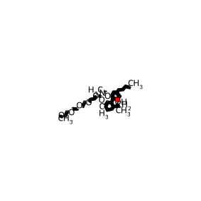 C=C(C)C1CCC(C)=CC1c1c(O)cc(CCCCC)cc1OCN(C)C(=O)OCCOCCOCCOCCOC